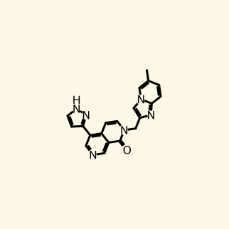 Cc1ccc2nc(Cn3ccc4c(-c5cc[nH]n5)cncc4c3=O)cn2c1